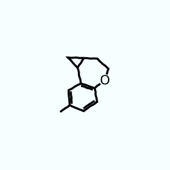 Cc1ccc2c(c1)C1CC1CCO2